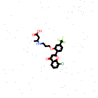 CC(CC(=O)O)NCCCOc1cc(C(F)(F)F)ccc1-c1cc(=O)c2cccc(Cl)c2o1